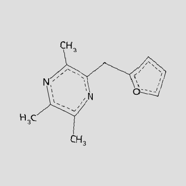 Cc1nc(C)c(Cc2ccco2)nc1C